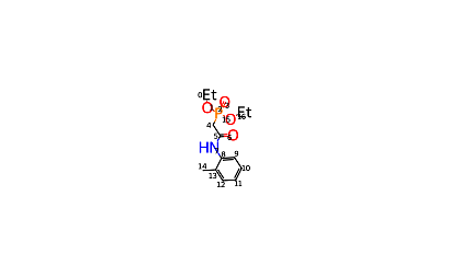 CCOP(=O)(CC(=O)Nc1ccccc1C)OCC